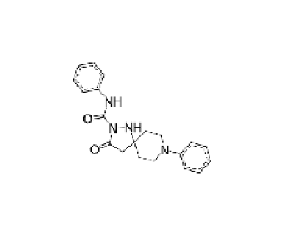 O=C1CC2(CCN(c3ccccc3)CC2)NN1C(=O)Nc1ccccc1